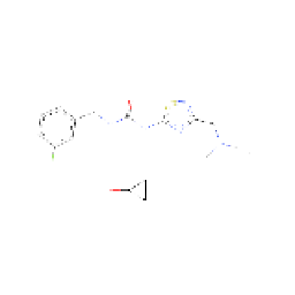 CN(Cc1nsc(NC(=O)NCc2cccc(F)c2)n1)C(=O)O.OC1CC1